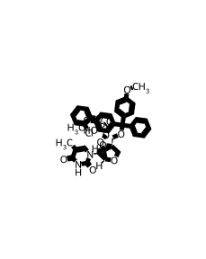 COc1ccc(C(OC[C@@]23CO[C@@H]([C@H](n4cc(C)c(=O)[nH]c4=O)O2)[C@H]3OOP(=O)(O)Oc2ccccc2Cl)(c2ccccc2)c2ccc(OC)cc2)cc1